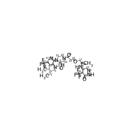 CCC(CC)CN1C(=O)[C@@H]2CN(C(=O)CCOC[C@H](C)Nc3cn[nH]c(=O)c3C(F)(F)F)CCN2c2ncc(C(F)(F)F)cc21